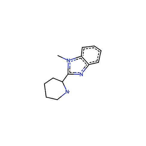 Cn1c(C2CCCC[N]2)nc2ccccc21